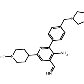 N=Cc1cc(C2CCN(C=O)CC2)nc(-c2ccc(CN3CCCC3)cc2)c1N